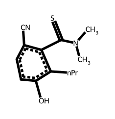 CCCc1c(O)ccc(C#N)c1C(=S)N(C)C